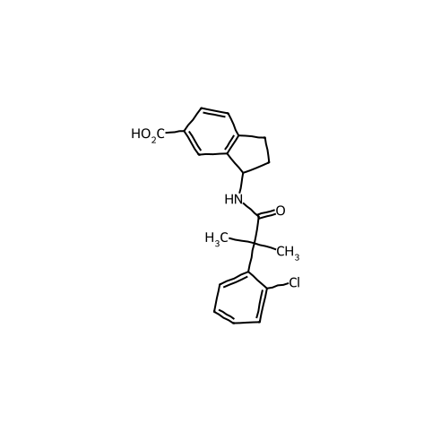 CC(C)(C(=O)NC1CCc2ccc(C(=O)O)cc21)c1ccccc1Cl